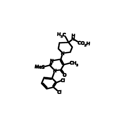 CSc1nc(N2CCC(C)(NC(=O)O)CC2)c(C)c(=O)n1-c1cccc(Cl)c1Cl